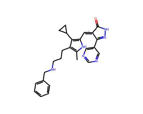 Cc1[nH]c(/C=C2/C(=O)NN=C2c2cncnc2)c(C2CC2)c1CCCNCc1ccccc1